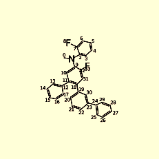 CN(c1ccccc1F)c1cc(-c2ccccc2)c(-c2cccc(-c3ccccc3)c2)cc1F